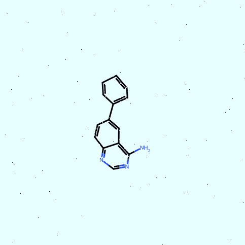 Nc1ncnc2ccc(-c3ccccc3)cc12